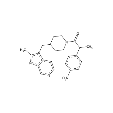 Cc1nc2cnccc2n1CC1CCN(C(=O)C(C)c2ccc([N+](=O)[O-])cc2)CC1